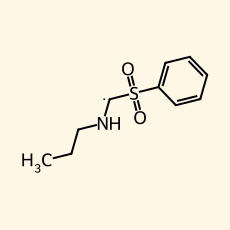 CCCN[CH]S(=O)(=O)c1ccccc1